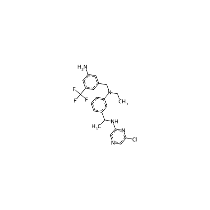 CCN(Cc1cc(N)cc(C(F)(F)F)c1)c1cccc(C(C)Nc2cncc(Cl)n2)c1